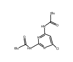 CC(C)(C)C(=O)Nc1cc(Cl)nc(NC(=O)C(C)(C)C)n1